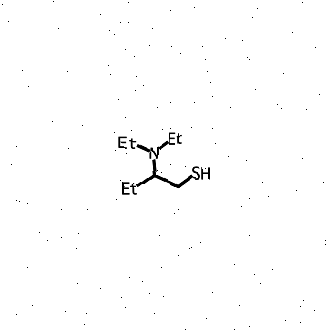 CCC(CS)N(CC)CC